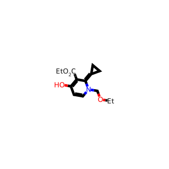 CCOCN1C=CC(O)=C(C(=O)OCC)C1=C1CC1